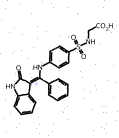 O=C(O)CNS(=O)(=O)c1ccc(N/C(=C2\C(=O)Nc3ccccc32)c2ccccc2)cc1